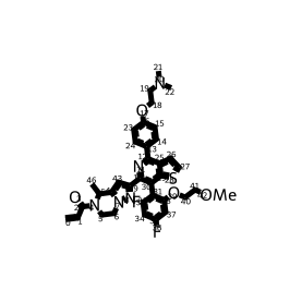 C=CC(=O)N1CCn2nc(-c3nc(-c4ccc(OCCN(C)C)cc4)c4ccsc4c3-c3c(F)cc(F)cc3OCCOC)cc2C1C